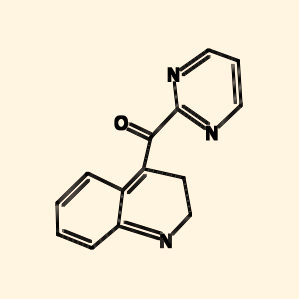 O=C(C1=c2ccccc2=NCC1)c1ncccn1